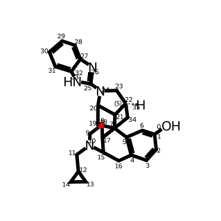 Oc1ccc2c(c1)C13CCN(CC4CC4)C(C2)C12CCC1C3[C@@H](CN1c1nc3ccccc3[nH]1)C2